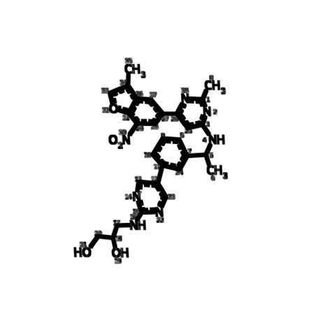 Cc1nc(NC(C)c2cccc(-c3cnc(NCC(O)CO)nc3)c2)cc(-c2cc([N+](=O)[O-])c3occ(C)c3c2)n1